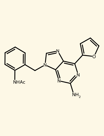 CC(=O)Nc1ccccc1Cn1cnc2c(-c3ccco3)nc(N)nc21